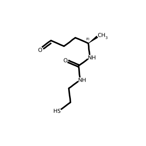 C[C@H](CCC=O)NC(=O)NCCS